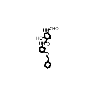 O=CNc1ccc(C(=O)Nc2cccc(OCCc3ccccc3)c2)c(O)c1